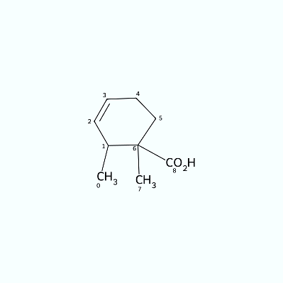 CC1C=CCCC1(C)C(=O)O